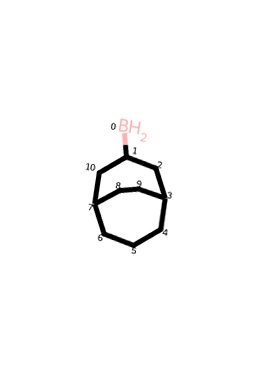 BC1CC2CCCC(CC2)C1